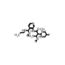 CCCNC(N=O)c1ccncc1NC(=O)C(C(N)N=O)C1NCC(F)CN1C